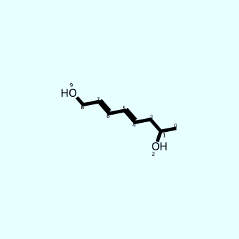 CC(O)CC=CC=CCO